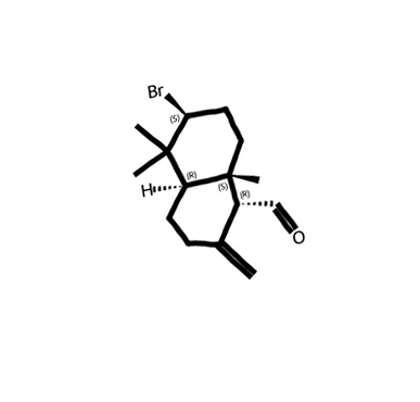 C=C1CC[C@H]2C(C)(C)[C@@H](Br)CC[C@]2(C)[C@@H]1C=O